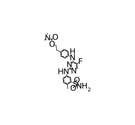 Cc1ccc(Nc2ncc(F)c(Nc3ccc(CCOC(=O)N(C)C)cc3)n2)cc1S(N)(=O)=O